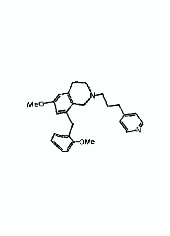 COc1cc2c(c(Cc3ccccc3OC)c1)CN(CCCc1ccncc1)CC2